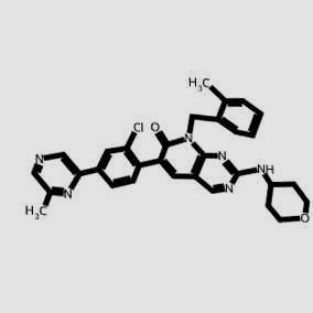 Cc1cncc(-c2ccc(-c3cc4cnc(NC5CCOCC5)nc4n(Cc4ccccc4C)c3=O)c(Cl)c2)n1